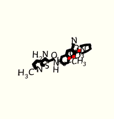 Cc1ccc2c(N)c(C(=O)N[C@H]3CCc4cc(N5CC6CCC(C5)N6C(=O)OC(C)(C)C)c(C#N)cc4C3)sc2n1